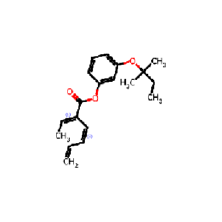 C=C/C=C\C(=C/C)C(=O)Oc1cccc(OC(C)(C)CC)c1